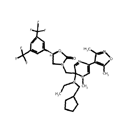 CCN(CC1CCCC1)C1(CN2C[C@@H](c3cc(C(F)(F)F)cc(C(F)(F)F)c3)OC2=O)C=NC(c2c(C)noc2C)=CN1C